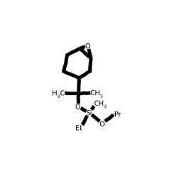 CC[Si](C)(OC(C)C)OC(C)(C)C1CCC2OC2C1